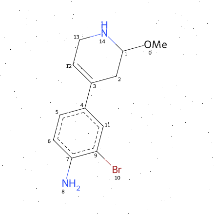 COC1CC(c2ccc(N)c(Br)c2)=CCN1